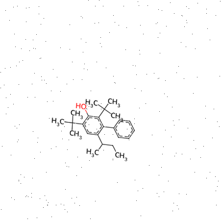 CCC(C)c1cc(C(C)(C)C)c(O)c(C(C)(C)C)c1-c1ccccc1